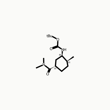 C[C@H]1CC[C@H](C(=O)N(C)C)C[C@H]1NC(=O)OC(C)(C)C